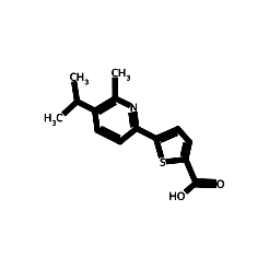 Cc1nc(-c2ccc(C(=O)O)s2)ccc1C(C)C